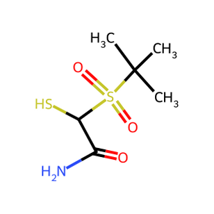 CC(C)(C)S(=O)(=O)C(S)C(N)=O